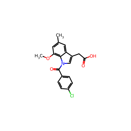 COc1cc(C)cc2c(CC(=O)O)cn(C(=O)c3ccc(Cl)cc3)c12